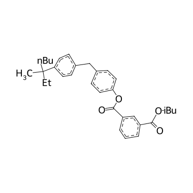 CCCCC(C)(CC)c1ccc(Cc2ccc(OC(=O)c3cccc(C(=O)OC(C)CC)c3)cc2)cc1